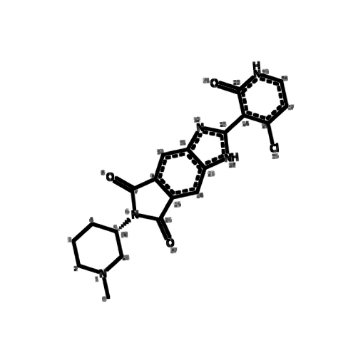 CN1CCC[C@H](N2C(=O)c3cc4nc(-c5c(Cl)cc[nH]c5=O)[nH]c4cc3C2=O)C1